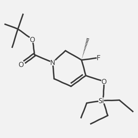 CC[Si](CC)(CC)OC1=CCN(C(=O)OC(C)(C)C)C[C@@]1(C)F